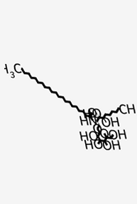 CCCCCCCCCCCCCCCCCCCCCC(=O)N[C@@H](COC1OC(CO)C(O)C(O)C1O)[C@H](O)[C@H](O)CCCCCC